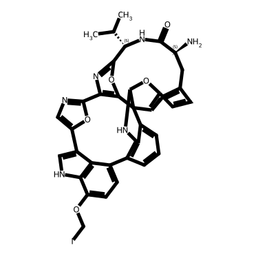 CC(C)[C@@H]1NC(=O)[C@@H](N)Cc2ccc3c(c2)C24c5cccc(c5NC2O3)-c2ccc(OCI)c3[nH]cc(c23)-c2cnc(o2)-c2nc1oc24